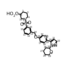 O=C(O)[C@H]1CCCN(S(=O)(=O)c2cccc(COc3ccc(-c4ccnn4C4CCCCO4)nc3)c2)C1